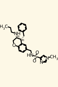 CCCN[C@H]1COc2ccc(CNS(=O)(=O)c3cn(C)cn3)cc2[C@H]1Cc1ccccc1